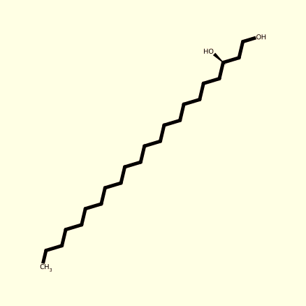 CCCCCCCCCCCCCCCCCCC[C@@H](O)CCO